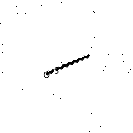 CCCCCCCCCCCCCSCC[C]=O